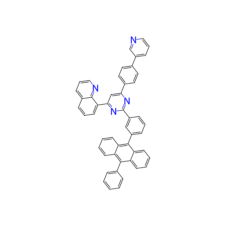 c1ccc(-c2c3ccccc3c(-c3cccc(-c4nc(-c5ccc(-c6cccnc6)cc5)cc(-c5cccc6cccnc56)n4)c3)c3ccccc23)cc1